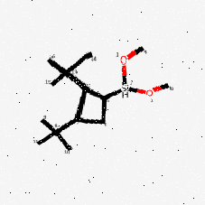 CO[SiH](OC)C1CC(C(C)(C)C)C1C(C)(C)C